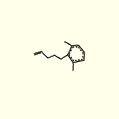 [CH]=CCCCc1c(C)cccc1C